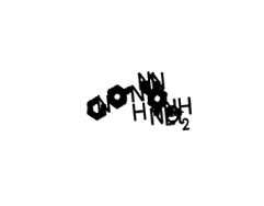 CCNc1cc2ncnc(NCc3ccc(N4CCCCC4)cc3)c2cc1[N+](=O)[O-]